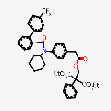 CCOC(=O)C(COC(=O)Cc1ccc(N(C(=O)c2ccccc2-c2ccc(C(F)(F)F)cc2)C2CCCCC2)cc1)(C(=O)OCC)c1ccccc1